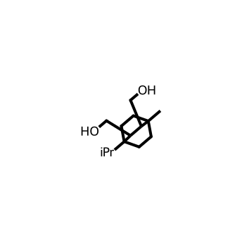 CC(C)C12CCC(C)(CC1)C(CO)C2CO